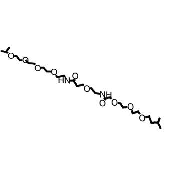 CC(C)CCOCCOCCOCC(=O)NCCOCCC(=O)NCCOCCOCCOCCOC(C)C